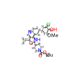 COc1cc(-c2ccc3ncc(C(=O)C4CC4)c(NCC4CCN(C(=O)OC(C)(C)C)CC4)c3c2)cc(Cl)c1O